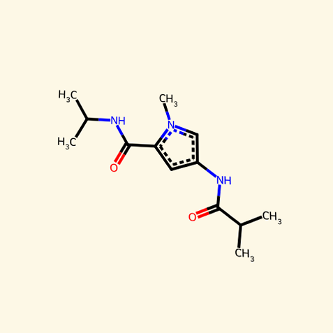 CC(C)NC(=O)c1cc(NC(=O)C(C)C)cn1C